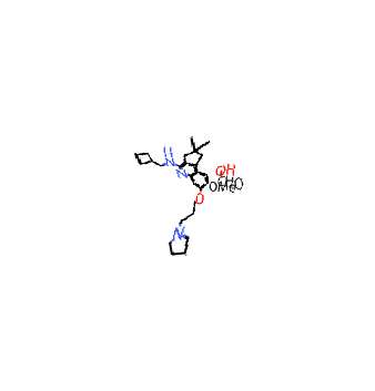 COc1cc2c3c(c(NCC4CCC4)nc2cc1OCCCN1CCCC1)CC(C)(C)C3.O=CO